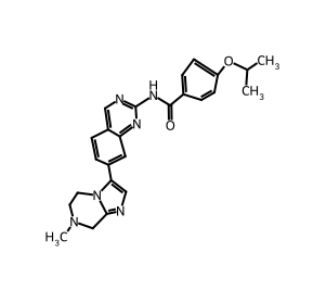 CC(C)Oc1ccc(C(=O)Nc2ncc3ccc(-c4cnc5n4CCN(C)C5)cc3n2)cc1